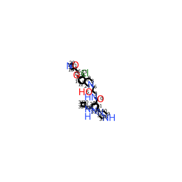 O=C(NCC(O)CN1CCc2c(ccc(OCc3cnco3)c2Cl)C1)c1cc(NC2CCC2)nc(N2CCNCC2)c1